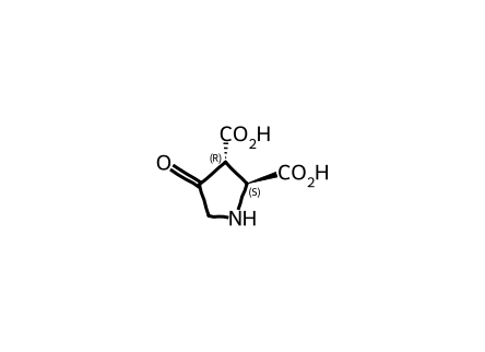 O=C(O)[C@H]1C(=O)CN[C@@H]1C(=O)O